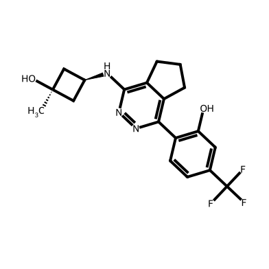 C[C@]1(O)C[C@@H](Nc2nnc(-c3ccc(C(F)(F)F)cc3O)c3c2CCC3)C1